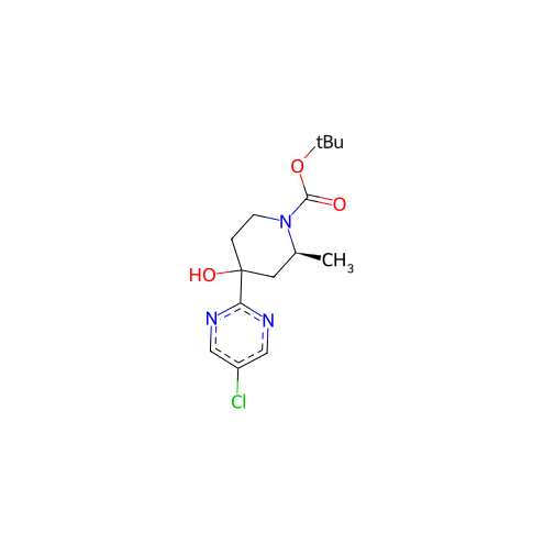 C[C@H]1CC(O)(c2ncc(Cl)cn2)CCN1C(=O)OC(C)(C)C